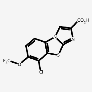 O=C(O)c1cn2c(n1)sc1c(Cl)c(OC(F)(F)F)ccc12